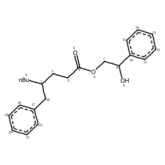 CCCCC(CCC(=O)OCC(O)c1ccccc1)Cc1ccccc1